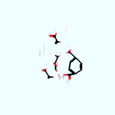 C=C(C)C(=O)O.C=C(C)C(=O)O.CC1CCOC(=O)c2ccc(cc2)C(=O)O1